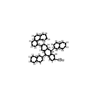 CC(C)(C)c1ccc2c(-c3ccc4ccccc4c3)c3cc(-c4cccc5ccc6cccnc6c45)ccc3c(-c3ccc4ccccc4c3)c2c1